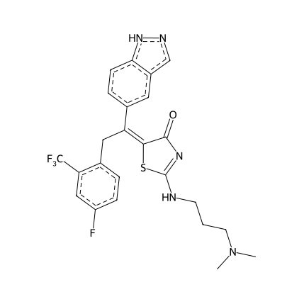 CN(C)CCCNC1=NC(=O)C(=C(Cc2ccc(F)cc2C(F)(F)F)c2ccc3[nH]ncc3c2)S1